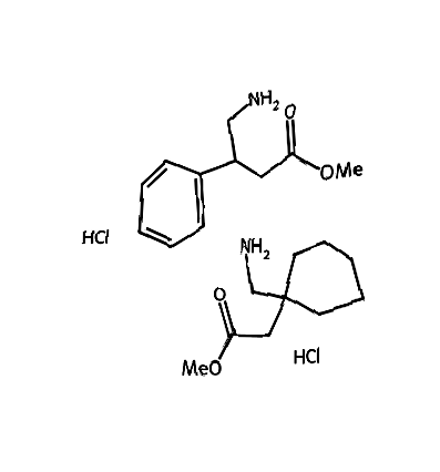 COC(=O)CC(CN)c1ccccc1.COC(=O)CC1(CN)CCCCC1.Cl.Cl